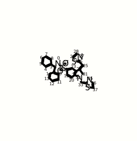 CN(C(c1ccccc1)c1ccccc1)S(=O)(=O)c1ccc2c(c1)/C(=C\c1nccs1)CN2Cc1nccs1